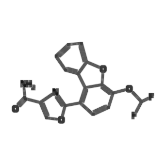 NC(=O)c1coc(-c2ccc(OC(F)F)c3oc4ccccc4c23)n1